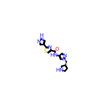 O=C(Nc1cnn(C[C@H]2CCNC2)c1)c1csc(-c2cn[nH]c2)n1